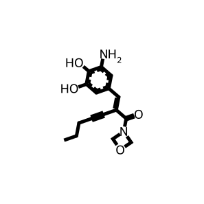 CCCC#C/C(=C\c1cc(N)c(O)c(O)c1)C(=O)N1COC1